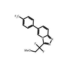 COCC(F)(F)c1nnc2ccc(-c3ccc(C(F)(F)F)cc3)cn12